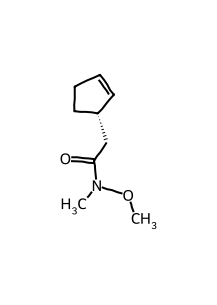 CON(C)C(=O)C[C@H]1C=CCC1